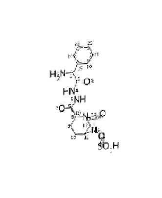 NC(C(=O)NNC(=O)[C@@H]1CCC2CN1C(=O)N2OS(=O)(=O)O)c1ccccc1